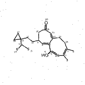 C/C1=C(C)/N=C(/O)C2=CC(CCC3(C(F)F)CC3)CC(=O)C=C2CC1